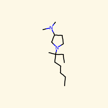 CCCCCC(C)(CC)N1CCC(N(C)C)C1